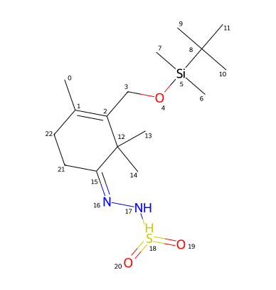 CC1=C(CO[Si](C)(C)C(C)(C)C)C(C)(C)/C(=N\N[SH](=O)=O)CC1